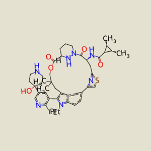 CCn1c(-c2cc(C3(O)CCNCC3)cnc2C(C)C)c2c3cc(ccc31)-c1csc(n1)C[C@H](NC(=O)C1[C@@H](C)[C@H]1C)C(=O)N1CCC[C@H](N1)C(=O)OCC(C)(C)C2